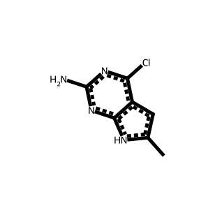 Cc1cc2c(Cl)nc(N)nc2[nH]1